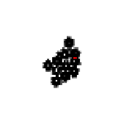 c1ccc(-c2nc(-c3ccccc3)nc(-c3cc(-c4c(-c5ccccc5)cccc4-c4ccccc4)cnc3-c3cccc4sc5cc6c(cc5c34)c3ccccc3n6-c3ccccc3)n2)cc1